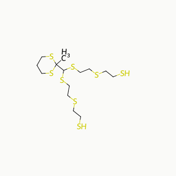 CC1(C(SCCSCCS)SCCSCCS)SCCCS1